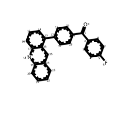 O=C(c1ccc(F)cc1)c1ccc(-c2cccc3nc4ccccc4cc23)cc1